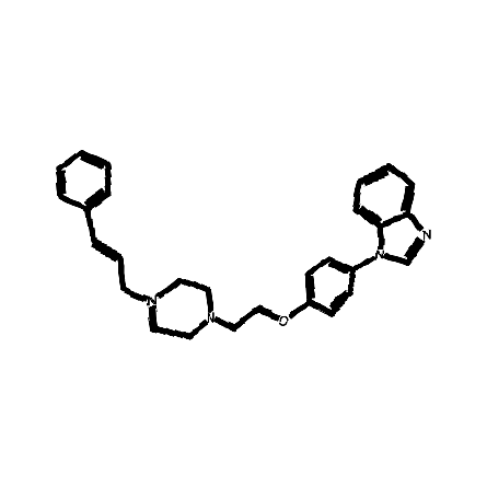 C(=Cc1ccccc1)CN1CCN(CCOc2ccc(-n3cnc4ccccc43)cc2)CC1